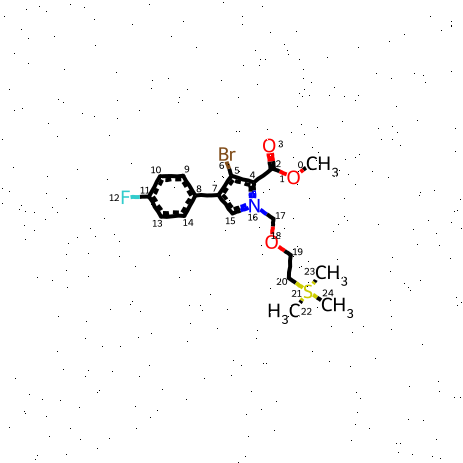 COC(=O)c1c(Br)c(-c2ccc(F)cc2)cn1COCCS(C)(C)C